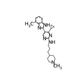 Cc1cccc2[nH]c(-c3cnc(NCCCC4CCN(C)CC4)nc3C3CC3)nc12